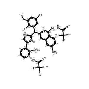 CCOc1cc(CC)cc(C(c2cc3cc(N)ccc3c(N)n2)c2nc(-c3cccnc3OC)c[nH]2)c1F.O=C(O)C(F)(F)F.O=C(O)C(F)(F)F